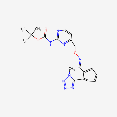 Cn1nnnc1-c1ccccc1C=NOCc1ccnc(NC(=O)OC(C)(C)C)n1